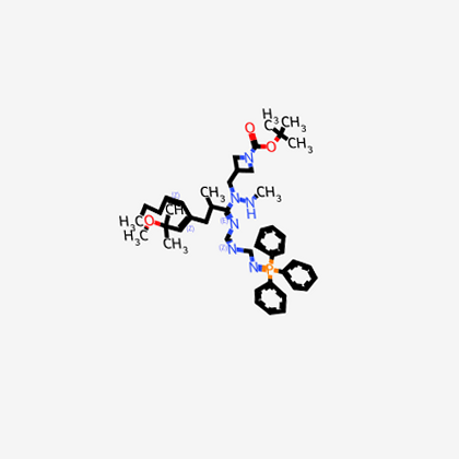 CCC/C=C\C(=C/C(C)(C)OC)CC(C)/C(=N\C=N/CN=P(c1ccccc1)(c1ccccc1)c1ccccc1)N(CC1CN(C(=O)OC(C)(C)C)C1)NC